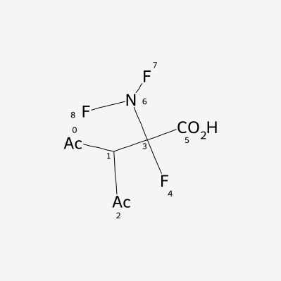 CC(=O)C(C(C)=O)C(F)(C(=O)O)N(F)F